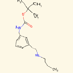 CCCNCc1cccc(NC(=O)OC(C)(C)C)c1